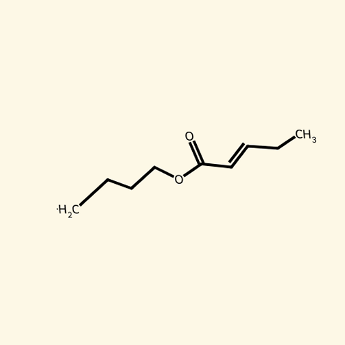 [CH2]CCCOC(=O)C=CCC